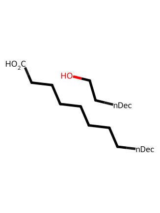 CCCCCCCCCCCCCCCCCC(=O)O.CCCCCCCCCCCCO